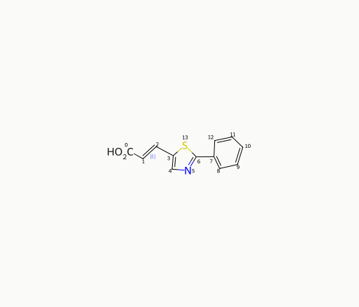 O=C(O)/C=C/c1cnc(-c2ccccc2)s1